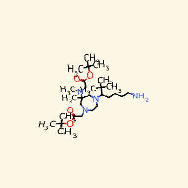 CN(CC(=O)OC(C)(C)C)C1(C)CN(CC(=O)OC(C)(C)C)CCN(C(CCCCN)C(C)(C)C)C1